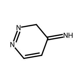 N=C1C=CN=NC1